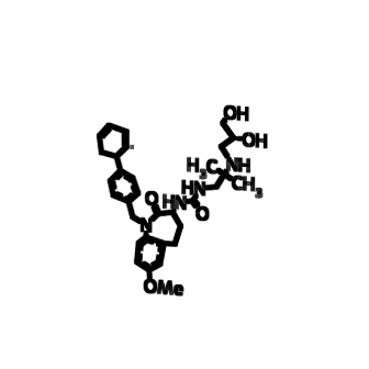 COc1ccc2c(c1)CC[C@@H](NC(=O)NCC(C)(C)NC[C@H](O)CO)C(=O)N2Cc1ccc(C2[C]=CC=CC2)cc1